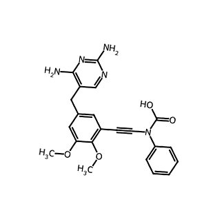 COc1cc(Cc2cnc(N)nc2N)cc(C#CN(C(=O)O)c2ccccc2)c1OC